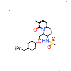 Cc1ccc2n(c1=O)C(COC1CCC(CC(C)C)CC1)C(NS(C)(=O)=O)CC2